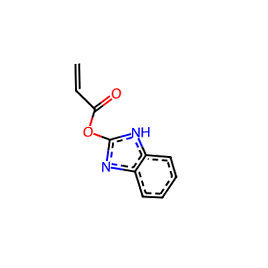 C=CC(=O)Oc1nc2ccccc2[nH]1